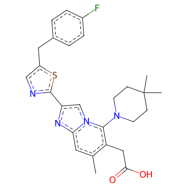 Cc1cc2nc(-c3ncc(Cc4ccc(F)cc4)s3)cn2c(N2CCC(C)(C)CC2)c1CC(=O)O